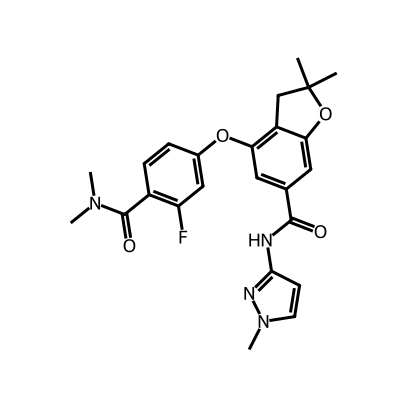 CN(C)C(=O)c1ccc(Oc2cc(C(=O)Nc3ccn(C)n3)cc3c2CC(C)(C)O3)cc1F